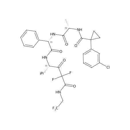 CC(C)[C@H](NC(=O)[C@@H](NC(=O)[C@H](C)NC(=O)C1(c2cccc(Cl)c2)CC1)c1ccccc1)C(=O)C(F)(F)C(=O)NCC(F)(F)F